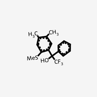 CSc1cc(C)c(C)cc1C(O)(c1ccccc1)C(F)(F)F